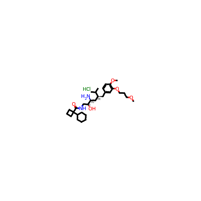 COCCCOc1cc(C[C@@H](C[C@H](N)[C@@H](O)CNC(=O)C2(C3CCCCC3)CCC2)C(C)C)ccc1OC.Cl